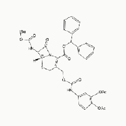 CC(=O)Oc1ccc(NC(=O)OCC2=C(C(=O)OC(c3ccccc3)c3ccccc3)N3C(=O)C(NC(=O)OC(C)(C)C)[C@H]3SC2)cc1OC(C)=O